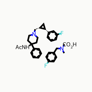 CC(=O)NC1(c2ccccc2)CCN(C[C@@H]2C[C@@H]2c2cccc(F)c2)CC1.CN(Cc1ccc(F)cc1)C(=O)O